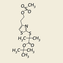 CC(C)(C)OC(=O)C(C)(C)Sc1nc(CCOS(C)(=O)=O)cs1